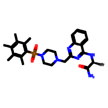 Cc1c(C)c(C)c(S(=O)(=O)N2CCN(Cc3nc(N[C@H](C(N)=O)C(C)C)c4ccccc4n3)CC2)c(C)c1C